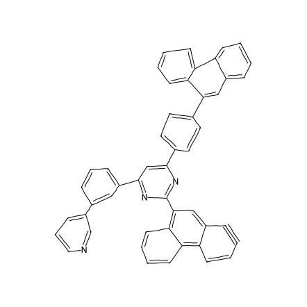 c1ccc2c(c#1)cc(-c1nc(-c3ccc(-c4cc5ccccc5c5ccccc45)cc3)cc(-c3cccc(-c4cccnc4)c3)n1)c1ccccc12